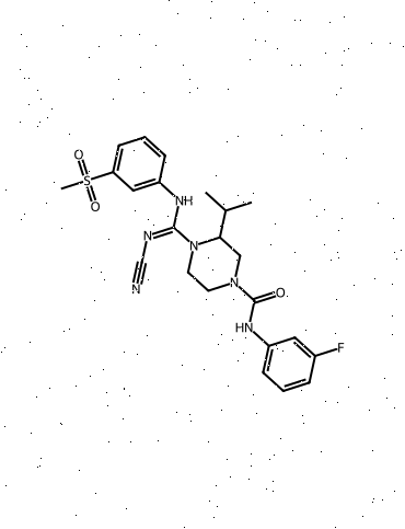 CC(C)C1CN(C(=O)Nc2cccc(F)c2)CCN1/C(=N\C#N)Nc1cccc(S(C)(=O)=O)c1